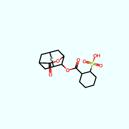 O=C1OC2CC3CC1CC(C3)C2OC(=O)C1CCCCC1S(=O)(=O)O